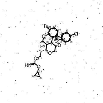 N=C(OCC[C@H]1OCC[C@]2(S(=O)(=O)c3ccc(Cl)cc3)c3c(F)ccc(F)c3OC[C@H]12)OC1CC1